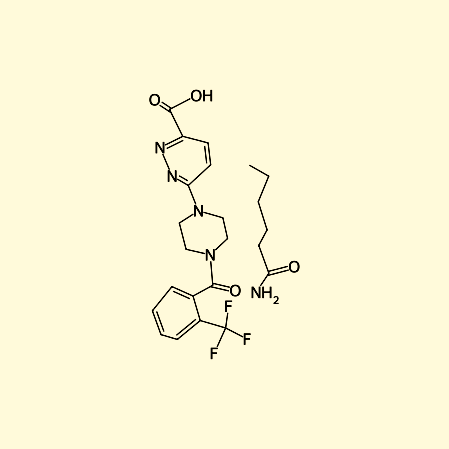 CCCCCC(N)=O.O=C(O)c1ccc(N2CCN(C(=O)c3ccccc3C(F)(F)F)CC2)nn1